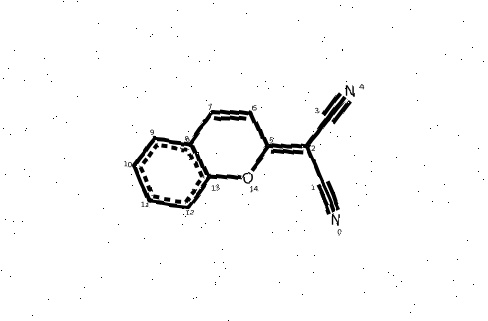 N#CC(C#N)=C1C=Cc2ccccc2O1